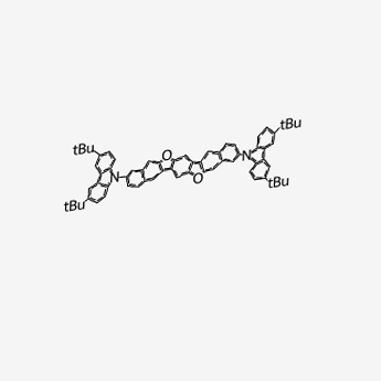 CC(C)(C)c1ccc2c(c1)c1cc(C(C)(C)C)ccc1n2-c1ccc2cc3c(cc2c1)oc1cc2c(cc13)oc1cc3cc(-n4c5ccc(C(C)(C)C)cc5c5cc(C(C)(C)C)ccc54)ccc3cc12